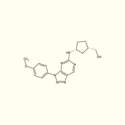 COc1ccc(-n2nnc3cnc(N[C@@H]4CC[C@H](CO)C4)nc32)cc1